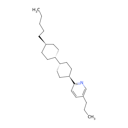 CCCCC[C@H]1CC[C@H]([C@H]2CC[C@H](c3ccc(CCC)cn3)CC2)CC1